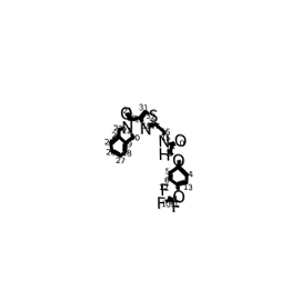 O=C(COc1ccc(OC(F)(F)F)cc1)NCc1nc(C(=O)N2Cc3ccccc3C2)cs1